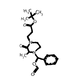 CC1C(=O)N(CCC(=O)OC(C)(C)C)CCN1C(OC=O)c1ccccc1